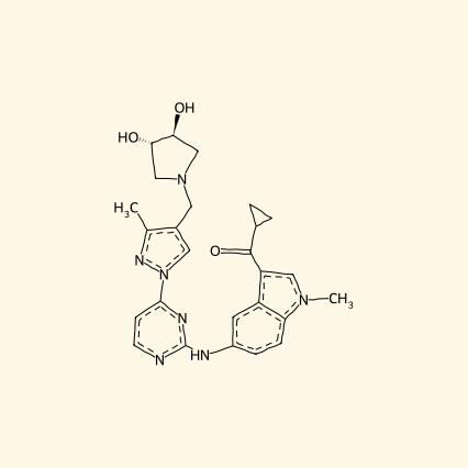 Cc1nn(-c2ccnc(Nc3ccc4c(c3)c(C(=O)C3CC3)cn4C)n2)cc1CN1C[C@H](O)[C@@H](O)C1